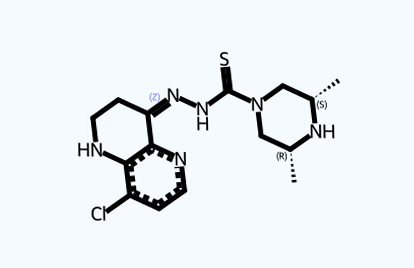 C[C@@H]1CN(C(=S)N/N=C2/CCNc3c(Cl)ccnc32)C[C@H](C)N1